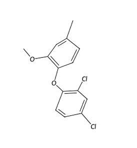 COc1cc(C)ccc1Oc1ccc(Cl)cc1Cl